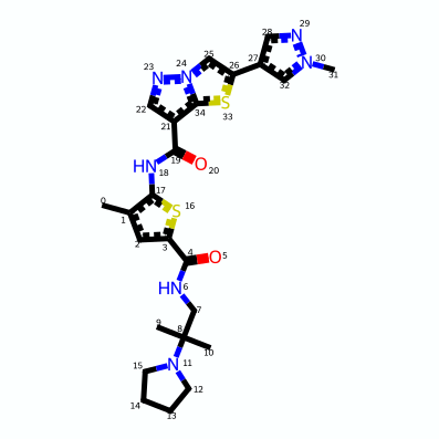 Cc1cc(C(=O)NCC(C)(C)N2CCCC2)sc1NC(=O)c1cnn2cc(-c3cnn(C)c3)sc12